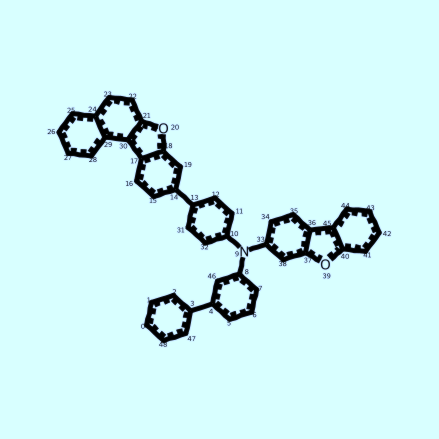 c1ccc(-c2cccc(N(c3ccc(-c4ccc5c(c4)oc4ccc6ccccc6c45)cc3)c3ccc4c(c3)oc3ccccc34)c2)cc1